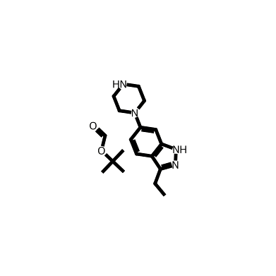 CC(C)(C)OC=O.CCc1n[nH]c2cc(N3CCNCC3)ccc12